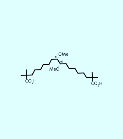 CO[C@@H](CCCCCCC(C)(C)C(=O)O)[C@H](CCCCCCC(C)(C)C(=O)O)OC